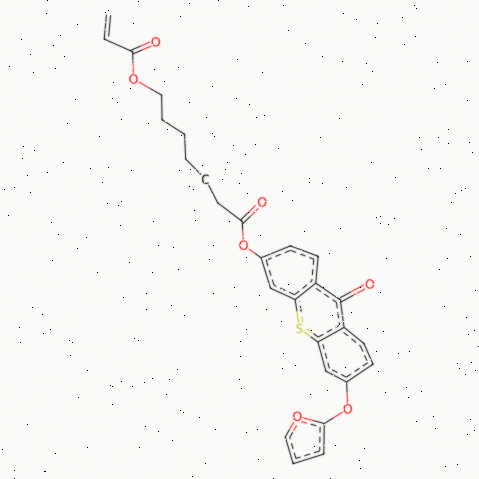 C=CC(=O)OCCCCCCC(=O)Oc1ccc2c(=O)c3ccc(Oc4ccco4)cc3sc2c1